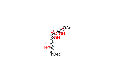 CCCCCCCCCCCCC(O)CCCCC(O)CC(=O)OCC(O)COOC(C)=O